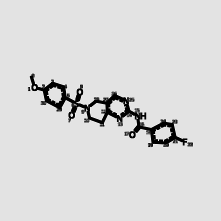 COc1ccc(S(=O)(=O)N2CCc3nc(NC(=O)c4ccc(F)cc4)ncc3C2)cc1